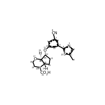 Cc1cnc(-c2cc(C#N)cc(O[C@@H]3CC[C@H]4[C@H]3OCCN4C(=O)O)c2)s1